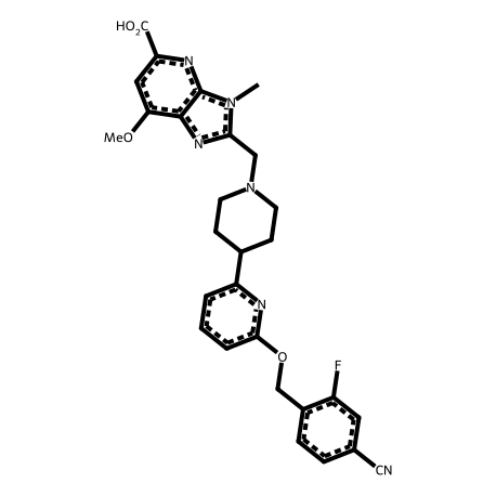 COc1cc(C(=O)O)nc2c1nc(CN1CCC(c3cccc(OCc4ccc(C#N)cc4F)n3)CC1)n2C